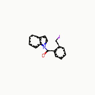 O=C(c1ccccc1CI)n1ccc2ccccc21